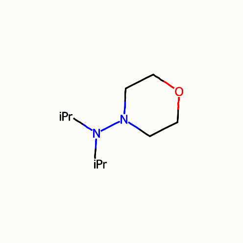 CC(C)N(C(C)C)N1CCOCC1